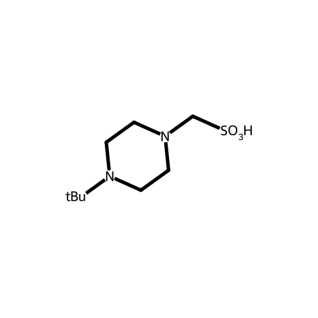 CC(C)(C)N1CCN(CS(=O)(=O)O)CC1